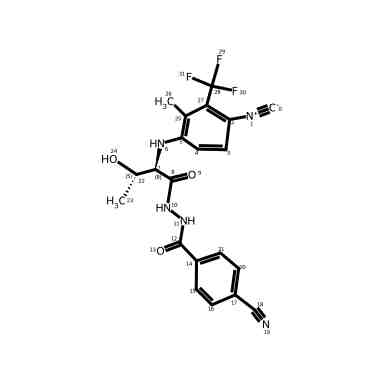 [C-]#[N+]c1ccc(N[C@@H](C(=O)NNC(=O)c2ccc(C#N)cc2)[C@H](C)O)c(C)c1C(F)(F)F